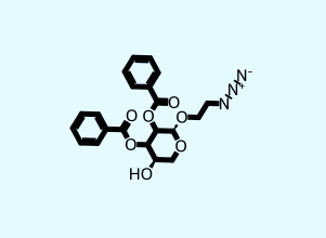 [N-]=[N+]=NCCO[C@@H]1OC[C@@H](O)C(OC(=O)c2ccccc2)C1OC(=O)c1ccccc1